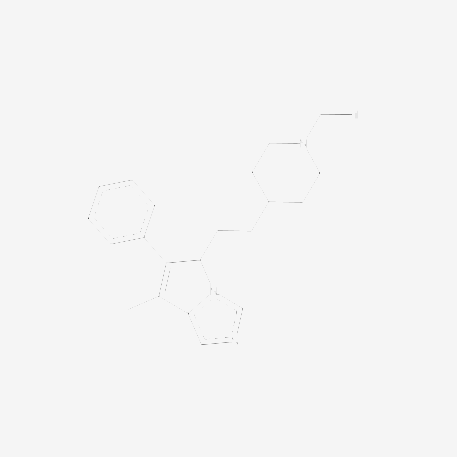 CC1=C(c2ccccc2)C(CCC2CCN(CC(C)C)CC2)n2cncc21